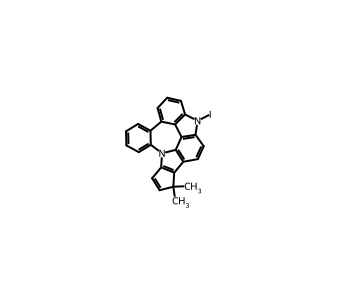 CC1(C)C=Cc2c1c1ccc3c4c5c(cccc5n3I)c3ccccc3n2c14